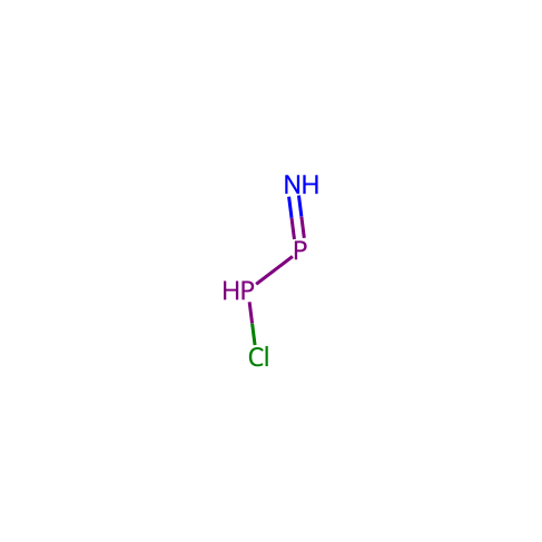 N=PPCl